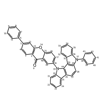 O=c1c2ccc(-c3ccccc3)cc2oc2ccc(-n3c4ccccc4c4ccc5c(c6ccccc6n5-c5ccccc5)c43)cc12